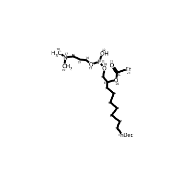 CCCCCCCCCCCCCCCCCC(COP(O)OCCCN(C)C)OC(=O)CC